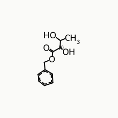 CC(O)[C@@H](O)C(=O)OCc1ccccc1